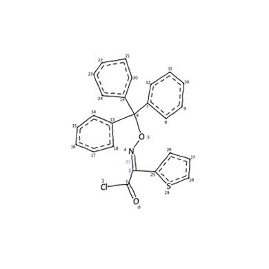 O=C(Cl)/C(=N/OC(c1ccccc1)(c1ccccc1)c1ccccc1)c1cccs1